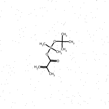 C=C(C)C(=O)O[Si](C)(C)OC(C)(C)C